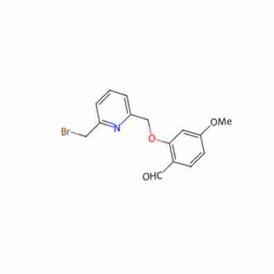 COc1ccc(C=O)c(OCc2cccc(CBr)n2)c1